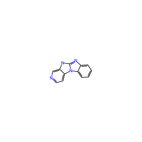 c1ccc2c(c1)nc1n2-c2ccncc2[N]1